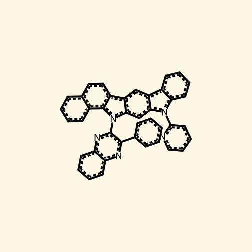 c1ccc(-c2nc3ccccc3nc2-n2c3cc4c(cc3c3ccc5ccccc5c32)c2ccccc2n4-c2ccccn2)cc1